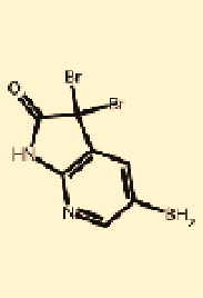 Bc1cnc2c(c1)C(Br)(Br)C(=O)N2